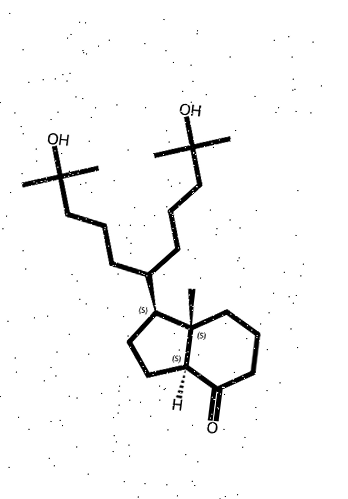 CC(C)(O)CCCC(CCCC(C)(C)O)[C@@H]1CC[C@@H]2C(=O)CCC[C@]21C